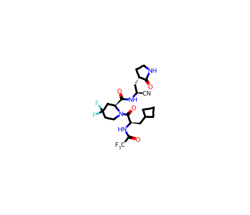 N#C[C@H](C[C@@H]1CCNC1=O)NC(=O)[C@@H]1CC(F)(F)CCN1C(=O)[C@@H](CC1CCC1)NC(=O)C(F)(F)F